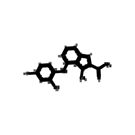 Cc1c(C(N)=O)sc2ncnc(Nc3ccc(F)cc3O)c12